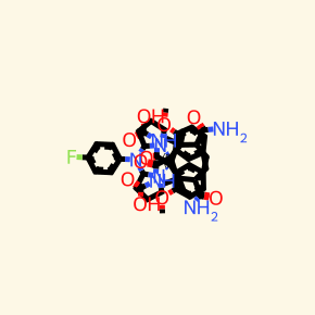 COc1ccc2cc1[C@@](C(=O)NC(=O)O)(N1CCCC1N(c1ccc(F)cc1)C1CCCN1[C@]1(C(=O)NC(=O)O)c3cc(ccc3OC)CC(C(N)=O)C1(C)C)C(C)(C)C(C(N)=O)C2